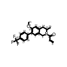 C=CC(=O)N1Cc2cc(-c3ccc(C(F)(F)F)cc3)c(OC)cc2CC1C